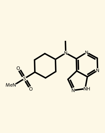 CNS(=O)(=O)C1CCC(N(C)c2ncnc3[nH]ncc23)CC1